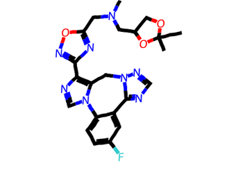 CN(Cc1nc(-c2ncn3c2Cn2ncnc2-c2cc(F)ccc2-3)no1)CC1COC(C)(C)O1